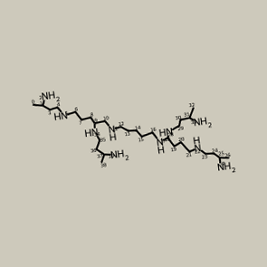 CC(N)CCNCCCC(CNCCCCCNC(CCCNCCC(C)N)NCCC(C)N)NCCC(C)N